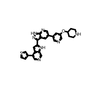 c1cc(-c2cncc3[nH]c(-c4n[nH]c5ncc(-c6cncc(OC7CCNCC7)c6)cc45)cc23)cs1